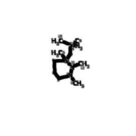 CN1CCC[Si](C)(C[SiH](C)C)N1C